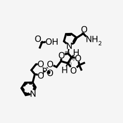 CC(=O)O.CC1(C)O[C@@H]2[C@H](O1)C(COP1(=O)OCCC(c3cccnc3)O1)O[C@H]2N1C=C(C(N)=O)C=CC1